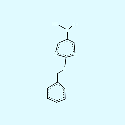 OB(O)c1cnc(OCc2ccccc2)nc1